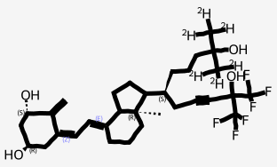 [2H]C([2H])([2H])C(O)(CCC[C@@H](CC#CC(O)(C(F)(F)F)C(F)(F)F)C1CCC2/C(=C/C=C3/C[C@@H](O)C[C@H](O)C3=C)CCC[C@@]21C)C([2H])([2H])[2H]